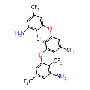 Nc1cc(C(F)(F)F)cc(Oc2cc(Oc3cc(C(F)(F)F)cc(N)c3C(F)(F)F)cc(C(F)(F)F)c2)c1C(F)(F)F